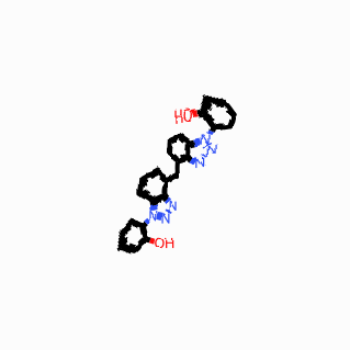 Oc1ccccc1-n1nnc2c(Cc3cccc4c3nnn4-c3ccccc3O)cccc21